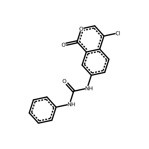 O=C(Nc1ccccc1)Nc1ccc2c(Cl)coc(=O)c2c1